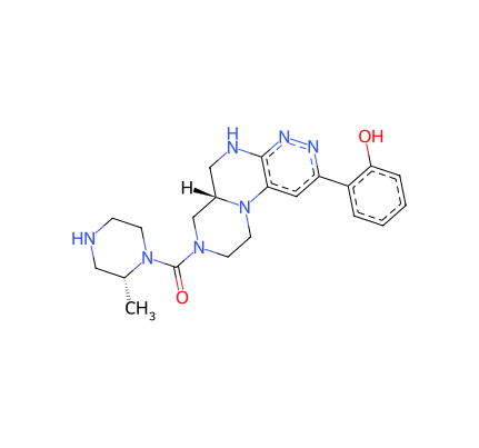 C[C@@H]1CNCCN1C(=O)N1CCN2c3cc(-c4ccccc4O)nnc3NC[C@H]2C1